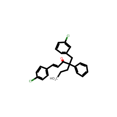 O=C(O)CCC(Cc1cccc(Cl)c1)(C(=O)C=Cc1ccc(Cl)cc1)c1ccccc1